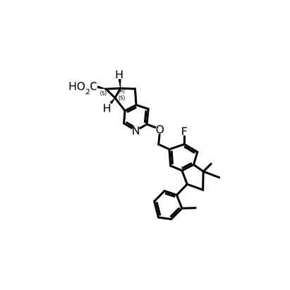 Cc1ccccc1C1CC(C)(C)c2cc(F)c(COc3cc4c(cn3)[C@H]3[C@@H](C4)[C@@H]3C(=O)O)cc21